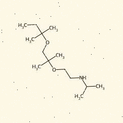 CCC(C)(C)OCC(C)(C)OCCNC(C)C